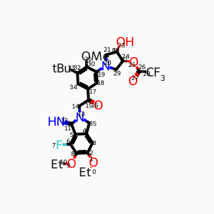 CCOc1cc2c(c(F)c1OCC)C(=N)N(CC(=O)c1cc(N3C[C@@H](O)[C@@H](OC(=O)C(F)(F)F)C3)c(OC)c(C(C)(C)C)c1)C2